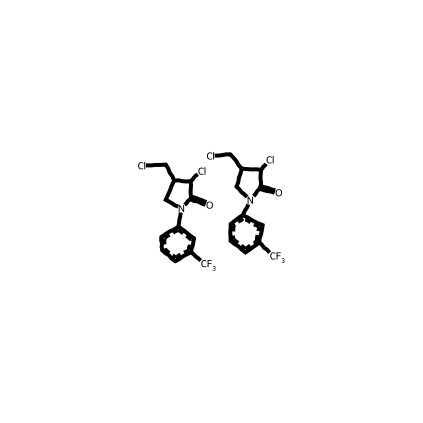 O=C1C(Cl)C(CCl)CN1c1cccc(C(F)(F)F)c1.O=C1C(Cl)C(CCl)CN1c1cccc(C(F)(F)F)c1